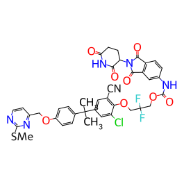 CSc1nccc(COc2ccc(C(C)(C)c3cc(Cl)c(OCC(F)(F)COC(=O)Nc4ccc5c(c4)C(=O)N(C4CCC(=O)NC4=O)C5=O)c(C#N)c3)cc2)n1